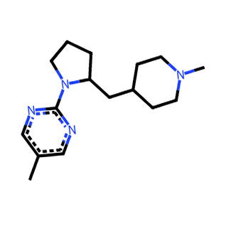 Cc1cnc(N2CCCC2CC2CCN(C)CC2)nc1